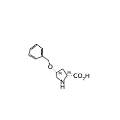 O=C(O)[C@H]1C[C@@H](OCc2ccccc2)CN1